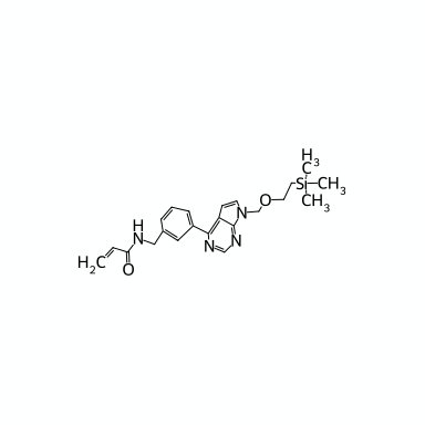 C=CC(=O)NCc1cccc(-c2ncnc3c2ccn3COCC[Si](C)(C)C)c1